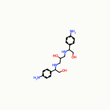 Nc1ccc(C(CO)NCC(O)CNC(CO)c2ccc(N)cc2)cc1